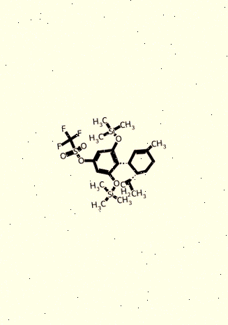 C=C(C)[C@H]1CCC(C)=C[C@H]1c1c(O[Si](C)(C)C)cc(OS(=O)(=O)C(F)(F)F)cc1O[Si](C)(C)C